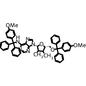 COc1ccc(C(Nc2ncnc3c2ncn3[C@@H]2O[C@H](COC(c3ccccc3)(c3ccccc3)c3ccc(OC)cc3)C(C)C2C)(c2ccccc2)c2ccccc2)cc1